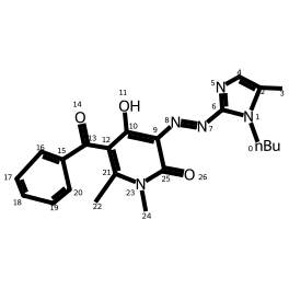 CCCCn1c(C)cnc1N=Nc1c(O)c(C(=O)c2ccccc2)c(C)n(C)c1=O